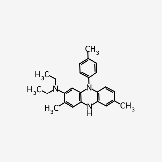 CCN(CC)c1cc2c(cc1C)Nc1cc(C)ccc1N2c1ccc(C)cc1